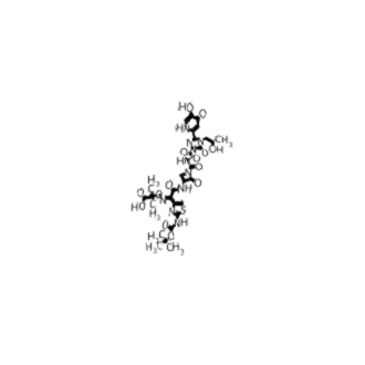 C[C@H](O)Cn1c(-c2cc(=O)c(O)c[nH]2)nn(S(=O)(=O)NC(=O)N2C[C@H](NC(=O)/C(=N\OC(C)(C)C(=O)O)c3csc(NC(=O)OC(C)(C)C)n3)C2=O)c1=O